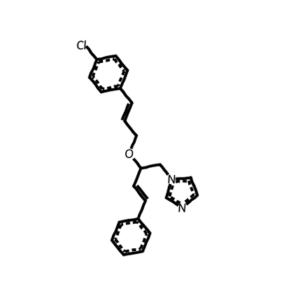 Clc1ccc(C=CCOC(C=Cc2ccccc2)Cn2ccnc2)cc1